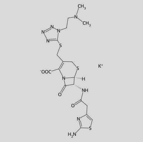 CN(C)CCn1nnnc1SCC1=C(C(=O)[O-])N2C(=O)[C@@H](NC(=O)Cc3csc(N)n3)[C@@H]2SC1.[K+]